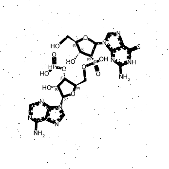 Nc1nc2c(ncn2C2O[C@H](CO)[C@@H](O)[C@H]2P(=O)(O)OC[C@H]2O[C@@H](n3cnc4c(N)ncnc43)[C@H](O)[C@@H]2O[PH](=O)O)c(=S)[nH]1